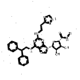 CCNC(=O)[C@H]1O[C@@H](n2cnc3c(NCC(c4ccccc4)c4ccccc4)nc(NCCc4nc[nH]n4)nc32)[C@H](O)[C@@H]1O